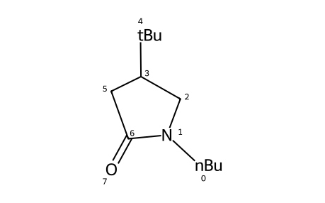 CCCCN1CC(C(C)(C)C)CC1=O